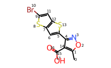 Cc1onc(-c2cc3sc(Br)cc3s2)c1C(=O)O